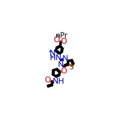 C=CC(=O)Nc1cccc(Oc2nc(Nc3ccc(C(=O)OCCC)cc3N(C)C)nc3ccsc23)c1